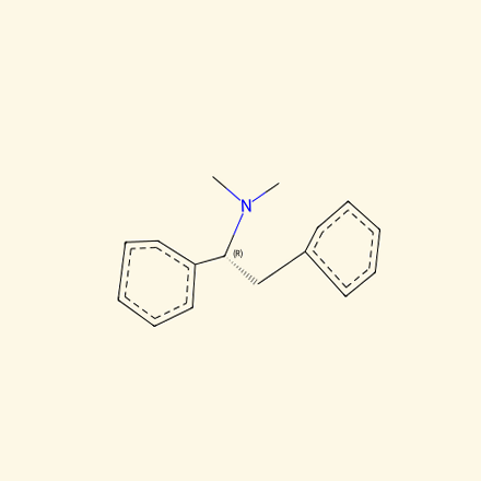 CN(C)[C@H](Cc1ccccc1)c1ccccc1